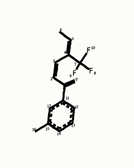 C=C(/C=C\C(=C/C)C(F)(F)F)c1cccc(C)c1